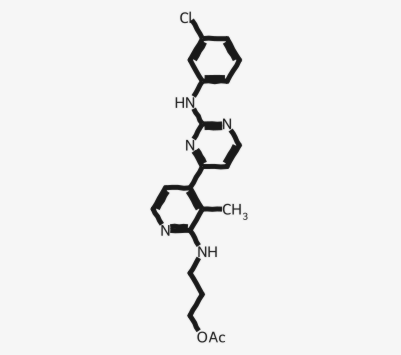 CC(=O)OCCCNc1nccc(-c2ccnc(Nc3cccc(Cl)c3)n2)c1C